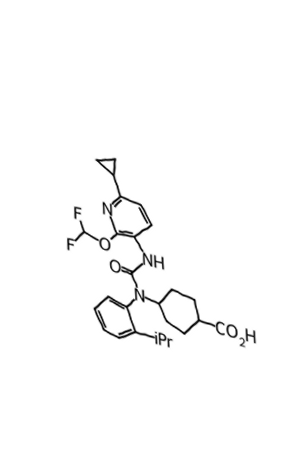 CC(C)c1ccccc1N(C(=O)Nc1ccc(C2CC2)nc1OC(F)F)C1CCC(C(=O)O)CC1